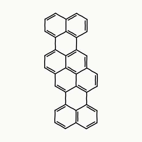 c1cc2cccc3c4cc5ccc6c7cccc8cccc(c9cc%10ccc(c(c1)c23)c4c%10c5c69)c87